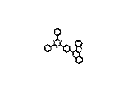 c1ccc(-c2nc(-c3ccccc3)nc(-c3ccc(-c4nc5ccccc5c5oc6ccccc6c45)cc3)n2)cc1